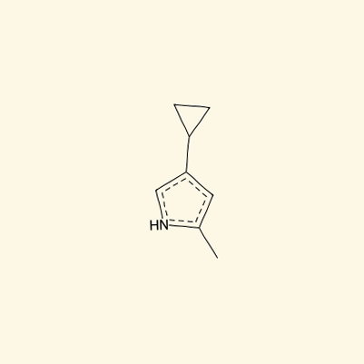 Cc1cc(C2CC2)c[nH]1